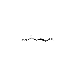 C/C=C/CNOC